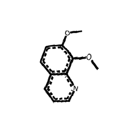 COc1ccc2c[c]cnc2c1OC